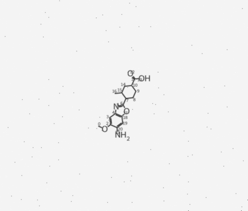 COc1cc2nc(C3CCC(C(=O)O)CC3C)oc2cc1N